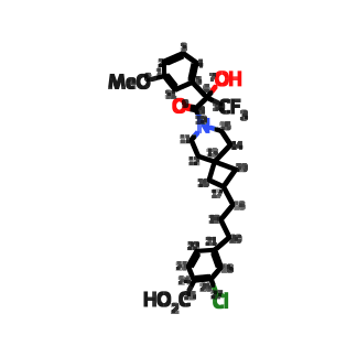 COc1cccc(C(O)(C(=O)N2CCC3(CC2)CC(CCCc2ccc(C(=O)O)c(Cl)c2)C3)C(F)(F)F)c1